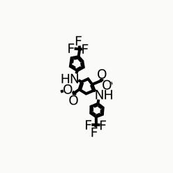 COC(=O)C1=C(Nc2ccc(C(F)(F)F)cc2)CC(C(=O)OC)=C(Nc2ccc(C(F)(F)F)cc2)C1